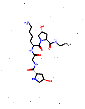 NCCCC[C@H](NC(=O)CNC(=O)[C@@H]1C[C@@H](O)CN1)C(=O)N1C[C@H](O)C[C@H]1C(=O)NCC(=O)O